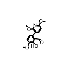 COc1ccc(-c2ccc(OC)c(O)c2C=O)c(OC)n1